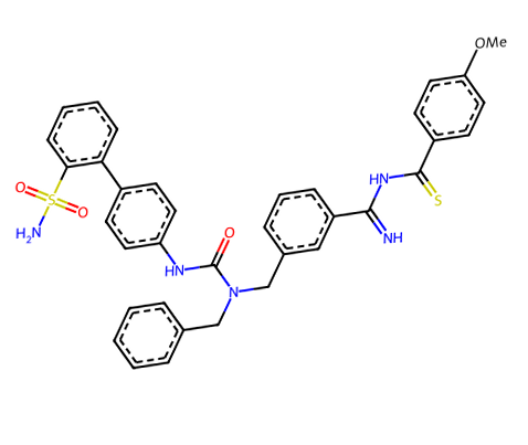 COc1ccc(C(=S)NC(=N)c2cccc(CN(Cc3ccccc3)C(=O)Nc3ccc(-c4ccccc4S(N)(=O)=O)cc3)c2)cc1